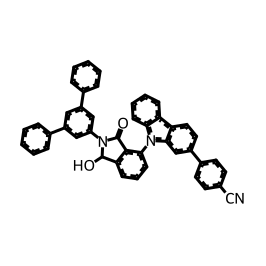 N#Cc1ccc(-c2ccc3c4ccccc4n(-c4cccc5c4C(=O)N(c4cc(-c6ccccc6)cc(-c6ccccc6)c4)C5O)c3c2)cc1